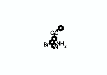 Nc1nccc2c(Br)cc3cc(C(=O)OCc4ccccc4)ccc3c12